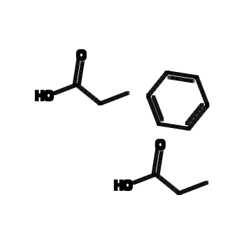 CCC(=O)O.CCC(=O)O.c1ccccc1